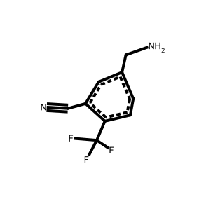 N#Cc1cc(CN)ccc1C(F)(F)F